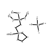 CCCCCC[N+]1(CC[Si](OCC)(OCC)OCC)CCCC1.F[B-](F)(F)F